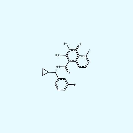 Cc1c(C(=O)N[C@H](c2cccc(F)c2)C2CC2)c2cccc(F)c2c(=O)n1C(C)C